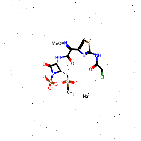 CO/N=C(\C(=O)N[C@H]1C(=O)N(S(=O)(=O)[O-])[C@H]1CS(C)(=O)=O)c1csc(NC(=O)CCl)n1.[Na+]